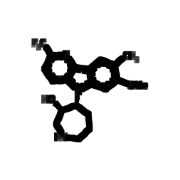 COc1cc2c(cc1C)c1nc(C(F)(F)F)ccc1n2[C@@H]1CCCNC[C@H]1O